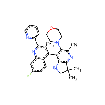 Cc1c(-c2ccccn2)nc2cc(F)ccc2c1-c1c2c(nc(C#N)c1N1CCOCC1)C(C)(C)CN2